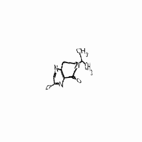 CC(C)N1Cc2ncc(Cl)nc2C1=O